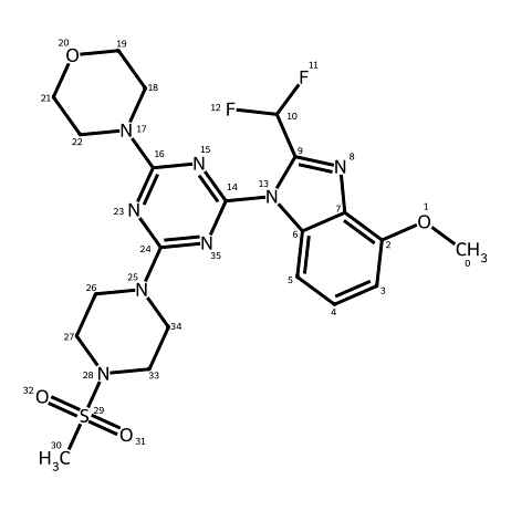 COc1cccc2c1nc(C(F)F)n2-c1nc(N2CCOCC2)nc(N2CCN(S(C)(=O)=O)CC2)n1